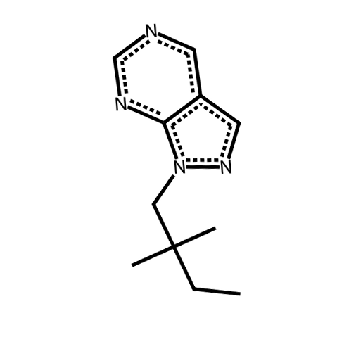 CCC(C)(C)Cn1ncc2cncnc21